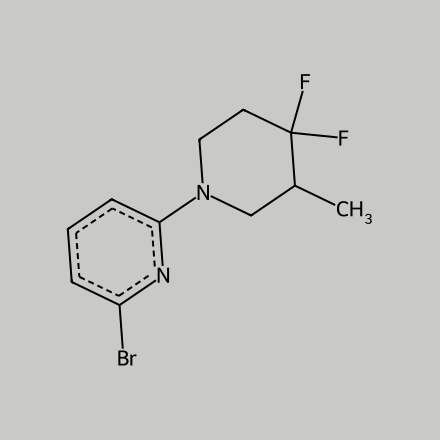 CC1CN(c2cccc(Br)n2)CCC1(F)F